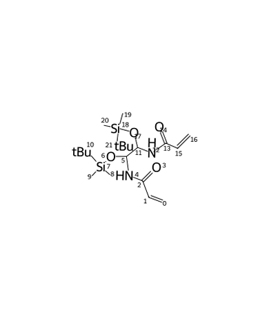 C=CC(=O)NC(O[Si](C)(C)C(C)(C)C)C(NC(=O)C=C)O[Si](C)(C)C(C)(C)C